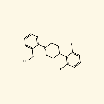 OCc1ccccc1N1CCC(c2c(F)cccc2F)CC1